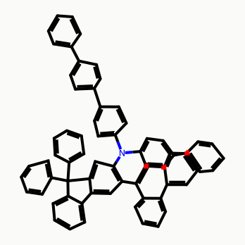 c1ccc(-c2ccc(-c3ccc(N(c4ccc(-c5ccccc5)cc4)c4cc5c(cc4-c4cc6ccccc6c6ccccc46)-c4ccccc4C5(c4ccccc4)c4ccccc4)cc3)cc2)cc1